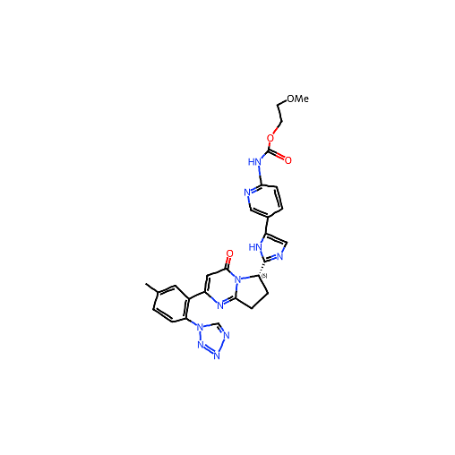 COCCOC(=O)Nc1ccc(-c2cnc([C@@H]3CCc4nc(-c5cc(C)ccc5-n5cnnn5)cc(=O)n43)[nH]2)cn1